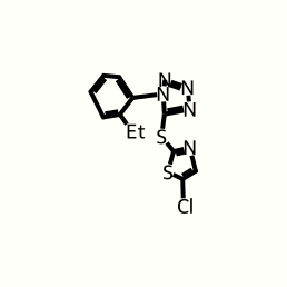 CCc1ccccc1-n1nnnc1Sc1ncc(Cl)s1